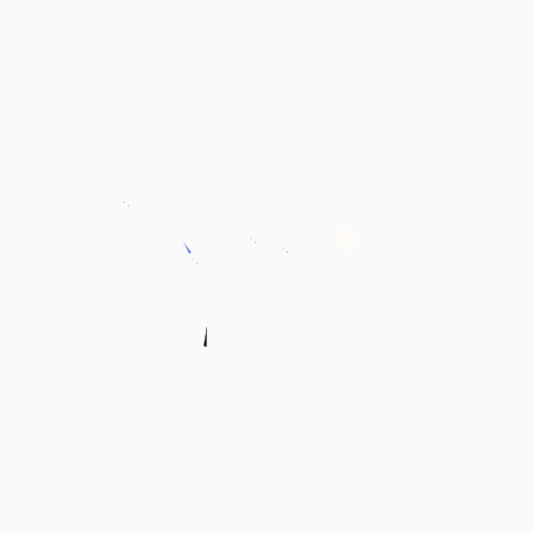 CCN1CCC[C@@H](N2C[C@H](C)c3cc(-c4c(C)cc(C(F)(F)F)cc4O)nnc32)C1